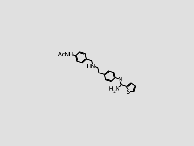 CC(=O)Nc1ccc(CNCCc2ccc(/N=C(\N)c3cccs3)cc2)cc1